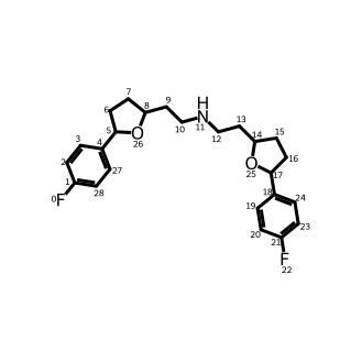 Fc1ccc(C2CCC(CCNCCC3CCC(c4ccc(F)cc4)O3)O2)cc1